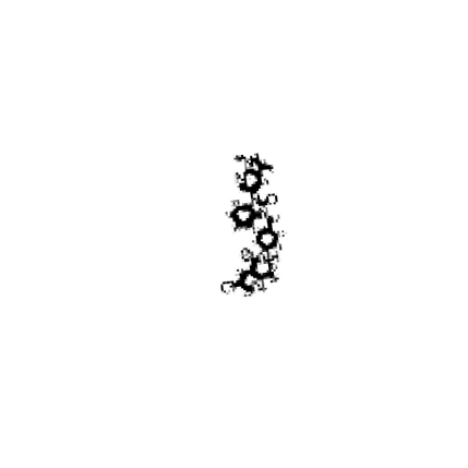 Cc1cn(C)c2ncc(-n3c(=O)n(CC4CCC(NC(=O)c5cc(Cl)cnc5C(F)F)CC4)c4ccccc43)cc12